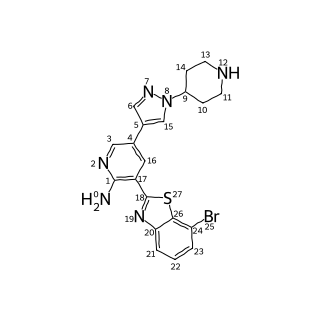 Nc1ncc(-c2cnn(C3CCNCC3)c2)cc1-c1nc2cccc(Br)c2s1